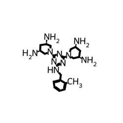 Cc1ccccc1CNc1nc(N2C[C@H](N)C[C@H](N)C2)nc(N2C[C@H](N)C[C@H](N)C2)n1